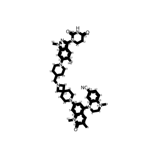 Cc1cc2c(N3CCN(C)c4ccc(C#N)cc43)cc(N3CCC4(CC3)CN(CC3CCN(c5cc6c(cc5F)c(N5CCC(=O)NC5=O)nn6C)CC3)C4)cc2n(C)c1=O